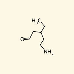 CCC(CC=O)CCN